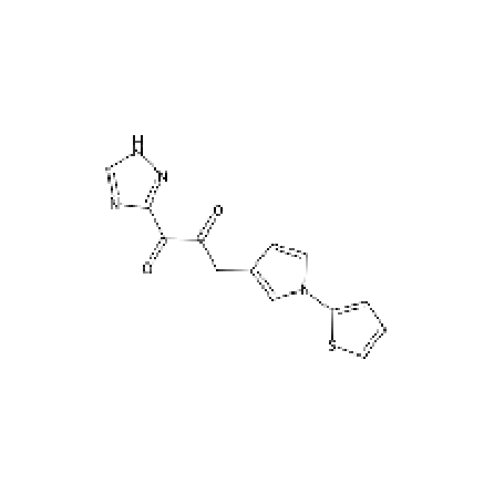 O=C(Cc1ccn(-c2cccs2)c1)C(=O)c1nc[nH]n1